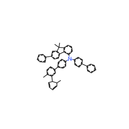 Cc1ccc(-c2ccc(N(c3ccc(-c4ccccc4)cc3)c3cccc4c3-c3ccc(-c5ccccc5)cc3C4(C)C)cc2)cc1C1C=CC=CC1C